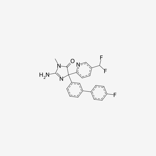 CN1C(=O)C(c2cccc(-c3ccc(F)cc3)c2)(c2ccc(C(F)F)cn2)N=C1N